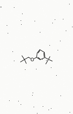 CC(C)(C)COc1cccc(C(C)(C)C)c1